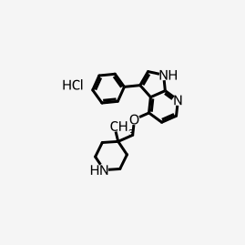 CC1(COc2ccnc3[nH]cc(-c4ccccc4)c23)CCNCC1.Cl